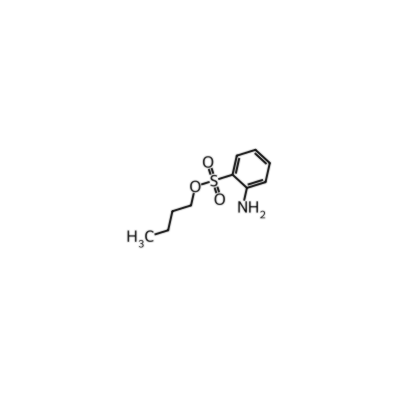 CCCCOS(=O)(=O)c1ccccc1N